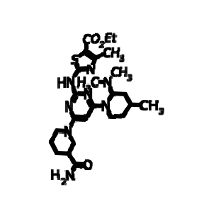 CCOC(=O)c1sc(Nc2nc(N3CCCC(C(N)=O)C3)cc(N3CCC(C)CC3N(C)C)n2)nc1C